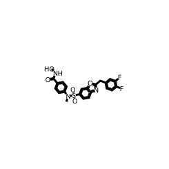 CN(c1ccc(C(=O)NO)cc1)S(=O)(=O)c1ccc2nc(Cc3ccc(F)c(F)c3)oc2c1